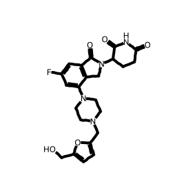 O=C1CCC(N2Cc3c(cc(F)cc3N3CCN(Cc4ccc(CO)o4)CC3)C2=O)C(=O)N1